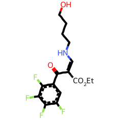 CCOC(=O)/C(=C/NCCCCO)C(=O)c1cc(F)c(F)c(F)c1F